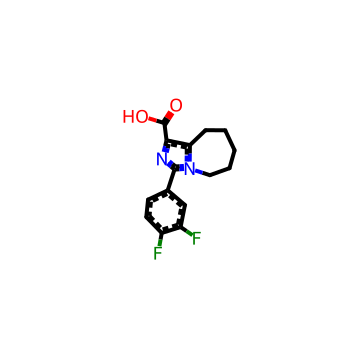 O=C(O)c1nc(-c2ccc(F)c(F)c2)n2c1CCCCC2